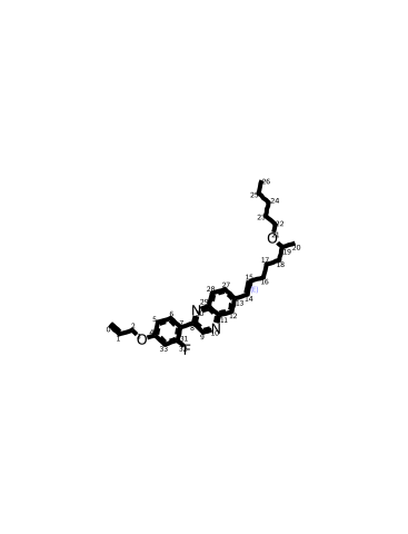 C=CCOc1ccc(-c2cnc3cc(/C=C/CCCC(C)OCCCCC)ccc3n2)c(F)c1